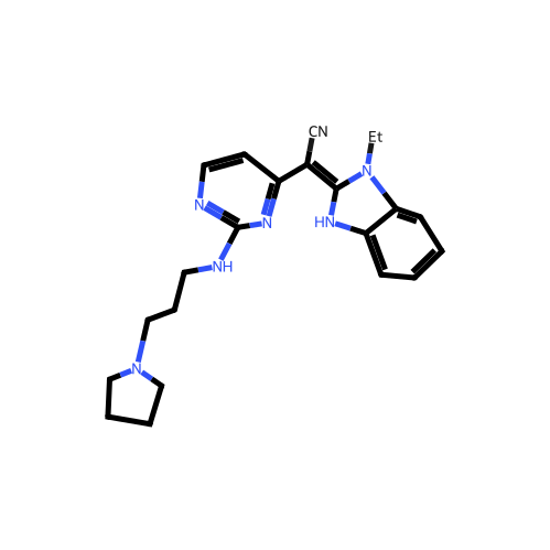 CCN1/C(=C(\C#N)c2ccnc(NCCCN3CCCC3)n2)Nc2ccccc21